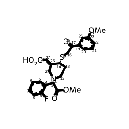 COC(=O)C(c1ccccc1F)N1CC[C@@H](SCC(=O)c2cccc(OC)c2)/C(=C/C(=O)O)C1